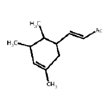 CC(=O)/C=C/C1CC(C)=CC(C)C1C